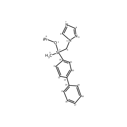 CC(C)O[Si](C)(Cn1cncn1)c1ccc(-c2ccccc2)cc1